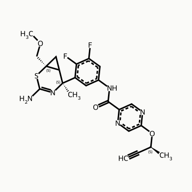 C#C[C@H](C)Oc1cnc(C(=O)Nc2cc(F)c(F)c([C@@]3(C)N=C(N)S[C@@]4(COC)CC43)c2)cn1